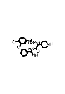 N=C(NC(=O)C(NNOc1ccc(Cl)c(Cl)c1)C1CCNCC1)c1ccccc1